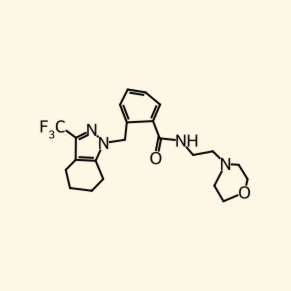 O=C(NCCN1CCOCC1)c1ccccc1Cn1nc(C(F)(F)F)c2c1CCCC2